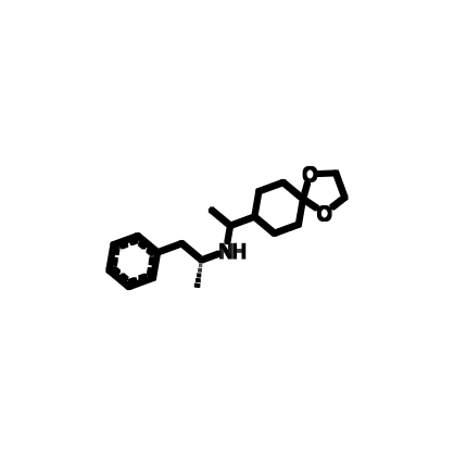 CC(N[C@H](C)Cc1ccccc1)C1CCC2(CC1)OCCO2